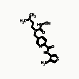 CN(C)CCN(Cc1ccc(C(=O)Nc2cscc2N)nc1)C(=O)NC(C)(C)C